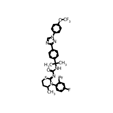 CC(C)c1cc(F)ccc1N1/C(=N/C(=O)NC(C)(C)c2ccc(-c3ncn(-c4ccc(OC(F)(F)F)cc4)n3)cc2)SCCC1C